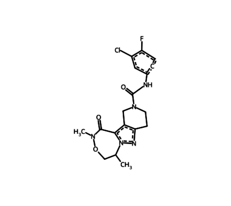 CC1CON(C)C(=O)c2c3c(nn21)CCN(C(=O)Nc1ccc(F)c(Cl)c1)C3